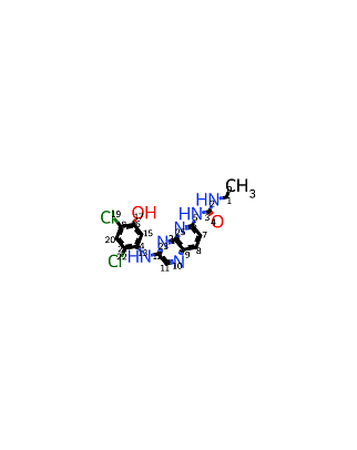 CCNC(=O)Nc1ccc2ncc(Nc3cc(O)c(Cl)cc3Cl)nc2n1